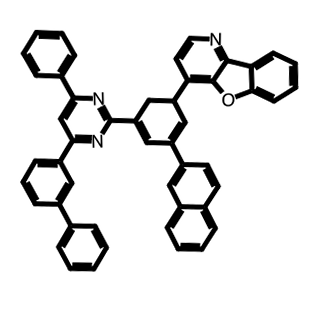 C1=C(c2ccc3ccccc3c2)C=C(c2nc(-c3ccccc3)cc(-c3cccc(-c4ccccc4)c3)n2)CC1c1ccnc2c1oc1ccccc12